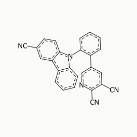 N#Cc1ccc2c(c1)c1ccccc1n2-c1ccccc1-c1cnc(C#N)c(C#N)c1